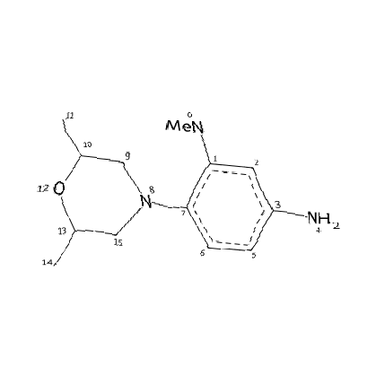 CNc1cc(N)ccc1N1CC(C)OC(C)C1